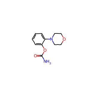 NC(=O)Oc1ccccc1N1CCOCC1